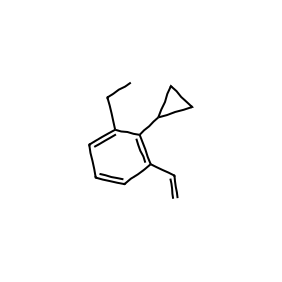 C=Cc1cccc(CC)c1C1CC1